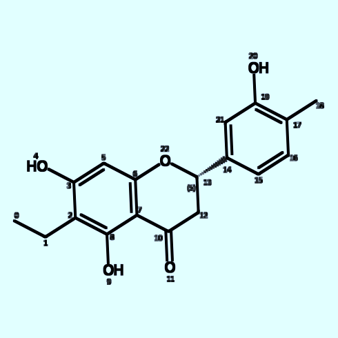 CCc1c(O)cc2c(c1O)C(=O)C[C@@H](c1ccc(C)c(O)c1)O2